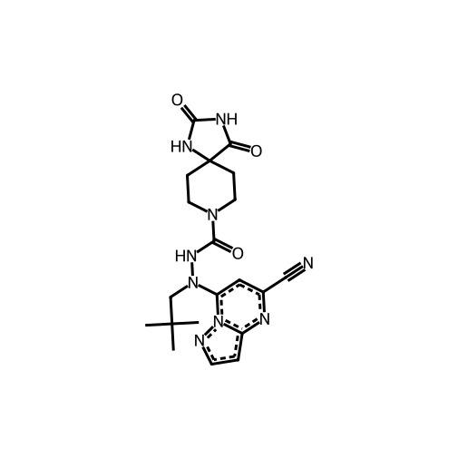 CC(C)(C)CN(NC(=O)N1CCC2(CC1)NC(=O)NC2=O)c1cc(C#N)nc2ccnn12